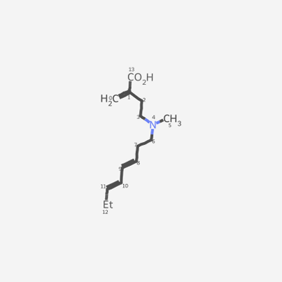 C=C(CCN(C)CCC=CC=CCC)C(=O)O